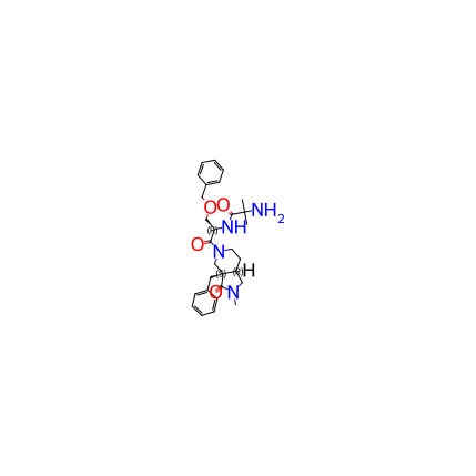 CN1C[C@@H]2CCN(C(=O)[C@@H](COCc3ccccc3)NC(=O)C(C)(C)N)C[C@@]2(Cc2ccccc2)C1=O